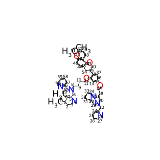 CC1CC=NC(CN(CCCCOc2cc(OCCCCN(Cc3ccccn3)Cc3ccccn3)ccc2C2COc3c(ccc4c3C=CC(C)(C)O4)C2)Cc2ccccn2)C1C